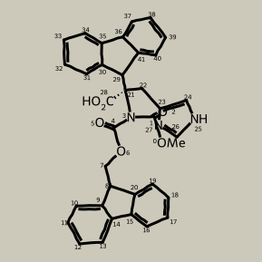 COC(=O)N(C(=O)OCC1c2ccccc2-c2ccccc21)[C@@](Cc1c[nH]cn1)(C(=O)O)C1c2ccccc2-c2ccccc21